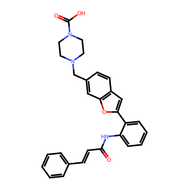 O=C(C=Cc1ccccc1)Nc1ccccc1-c1cc2ccc(CN3CCN(C(=O)O)CC3)cc2o1